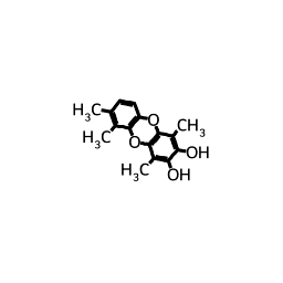 Cc1ccc2c(c1C)Oc1c(C)c(O)c(O)c(C)c1O2